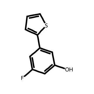 Oc1cc(F)cc(-c2cccs2)c1